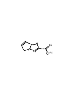 O=C(O)c1nc2n(n1)CC=C2